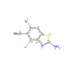 COc1c(Br)cc2sc(N)nc2c1F